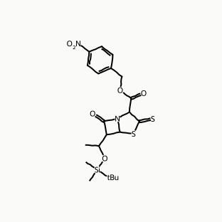 CC(O[Si](C)(C)C(C)(C)C)C1C(=O)N2C(C(=O)OCc3ccc([N+](=O)[O-])cc3)C(=S)SC12